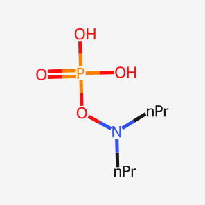 CCCN(CCC)OP(=O)(O)O